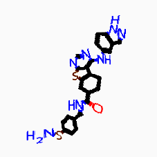 NSc1ccc(CNC(=O)C2CCc3c(sc4ncnc(Nc5ccc6[nH]ncc6c5)c34)C2)cc1